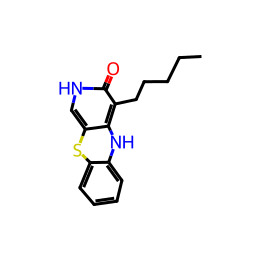 CCCCCc1c2c(c[nH]c1=O)Sc1ccccc1N2